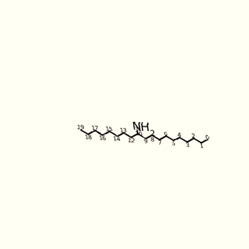 CCCCCCCCCCC(N)CCCCCCCC